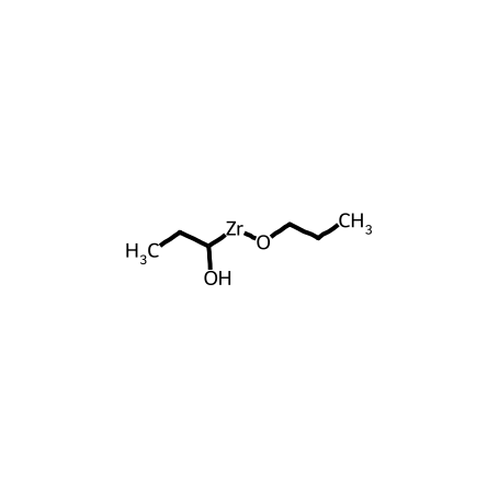 CCC[O][Zr][CH](O)CC